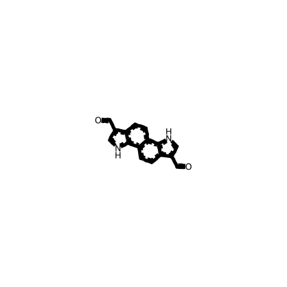 O=Cc1c[nH]c2c1ccc1c2ccc2c(C=O)c[nH]c21